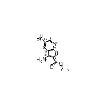 CCOC(=O)c1oc2ncc(Br)cc2c1N